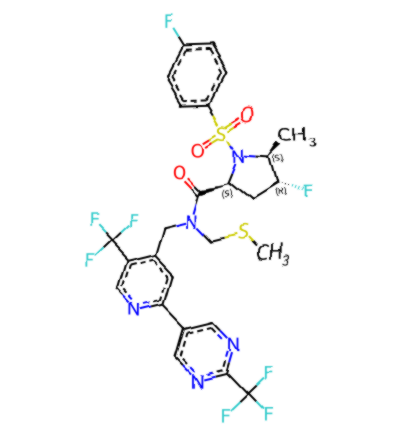 CSCN(Cc1cc(-c2cnc(C(F)(F)F)nc2)ncc1C(F)(F)F)C(=O)[C@@H]1C[C@@H](F)[C@H](C)N1S(=O)(=O)c1ccc(F)cc1